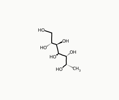 C[C@H](O)[C@@H](O)[C@@H](O)[C@H](O)[C@H](O)CO